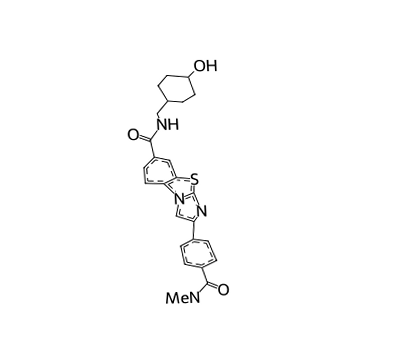 CNC(=O)c1ccc(-c2cn3c(n2)sc2cc(C(=O)NCC4CCC(O)CC4)ccc23)cc1